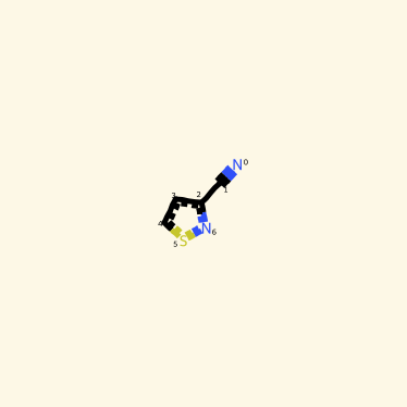 N#Cc1ccsn1